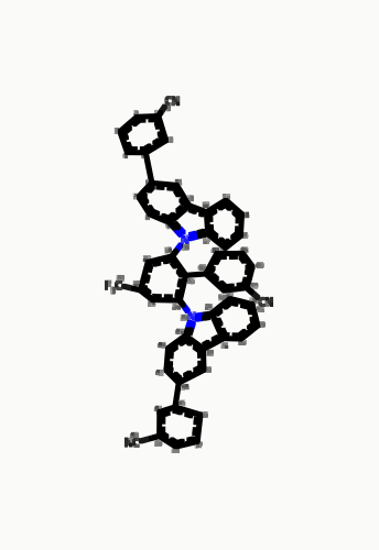 N#Cc1cccc(-c2ccc3c(c2)c2ccccc2n3-c2cc(C(F)(F)F)cc(-n3c4ccccc4c4cc(-c5cccc(C#N)c5)ccc43)c2-c2cccc(C#N)c2)c1